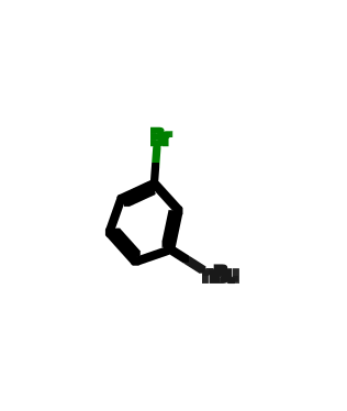 C[CH]CCc1cccc(Br)c1